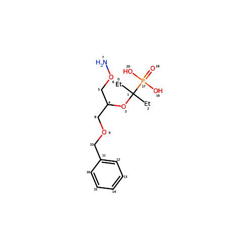 CCC(CC)(OC(CON)COCc1ccccc1)P(=O)(O)O